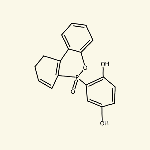 O=P1(c2cc(O)ccc2O)Oc2ccccc2C2=C1C=CCC2